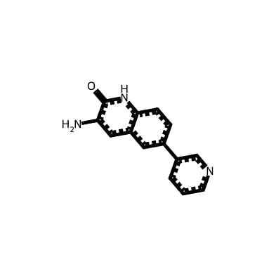 Nc1cc2cc(-c3cccnc3)ccc2[nH]c1=O